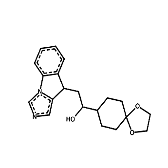 OC(CC1c2ccccc2-n2cncc21)C1CCC2(CC1)OCCO2